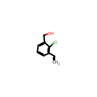 C=Cc1cccc(CO)c1Cl